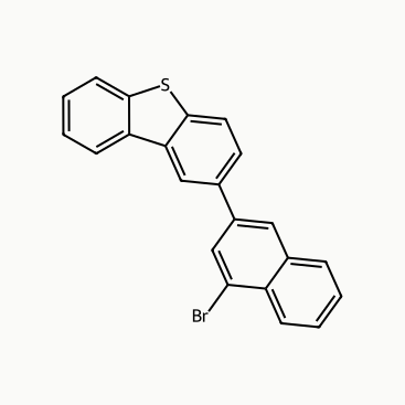 Brc1cc(-c2ccc3sc4ccccc4c3c2)cc2ccccc12